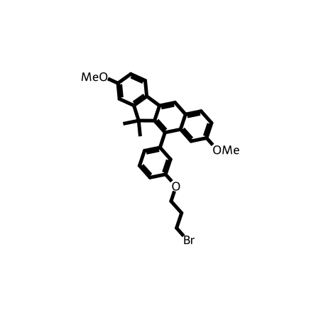 COc1ccc2c(c1)C(C)(C)c1c-2cc2ccc(OC)cc2c1-c1cccc(OCCCBr)c1